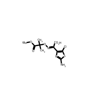 CC(C)(C)OC(=O)C(C)(C)ON=C(C(=O)O)c1nc(N)sc1Cl